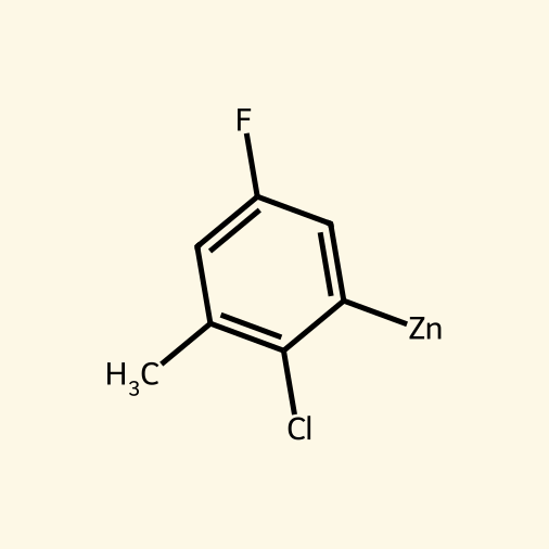 Cc1cc(F)c[c]([Zn])c1Cl